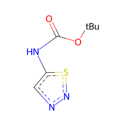 CC(C)(C)OC(=O)Nc1cnns1